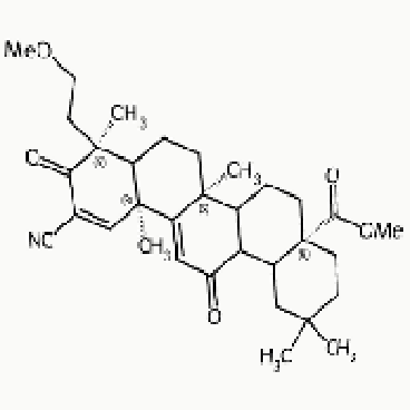 COCC[C@]1(C)C(=O)C(C#N)=C[C@]2(C)C3=CC(=O)C4C5CC(C)(C)CC[C@]5(C(=O)OC)CCC4[C@]3(C)CCC21